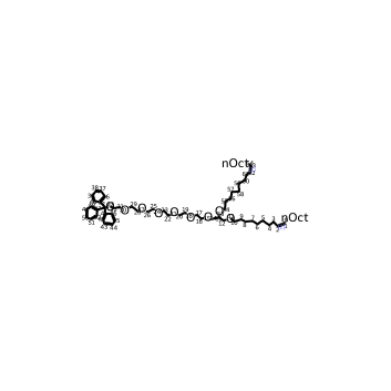 CCCCCCCC/C=C\CCCCCCCCOCC(COCCOCCOCCOCCOCCOCCOC(c1ccccc1)(c1ccccc1)c1ccccc1)OCCCCCCCC/C=C\CCCCCCCC